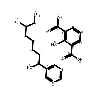 CCC(C)CCCCC(O)c1cncnc1.Cc1c(C(=O)O)cccc1C(=O)O